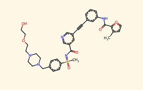 Cc1ccoc1C(=O)Nc1cccc(C#Cc2cncc(C(=O)N=S(C)(=O)c3ccc(CN4CCN(CCOCCO)CC4)cc3)c2)c1